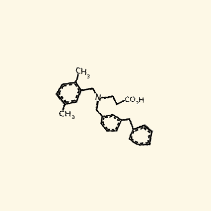 Cc1ccc(C)c(CN(CCC(=O)O)Cc2cccc(Cc3ccccc3)c2)c1